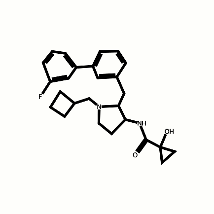 O=C(NC1CCN(CC2CCC2)C1Cc1cccc(-c2cccc(F)c2)c1)C1(O)CC1